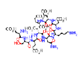 NCCCC[C@@H](NC(=O)[C@@H](CC(N)=O)NC(=O)[C@@H](CC(=O)O)NC(=O)[C@@H](CCC(=O)O)NC(=O)[C@@H](CO)NC(=O)[C@@H](N)CC(=O)O)C(=O)N[C@H](CC(=O)O)C(=O)N[C@H](CCC(=O)O)C(=O)N[C@H](CCC(=O)O)C(=O)O